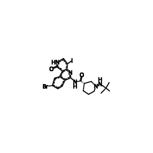 CC(C)(C)NN1CCC[C@H](C(=O)Nc2nc3c(I)c[nH]c(=O)c3c3cc(Br)ccc23)C1